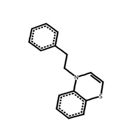 C1=CN(CCc2ccccc2)c2ccccc2S1